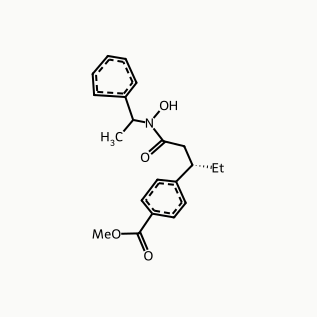 CC[C@@H](CC(=O)N(O)C(C)c1ccccc1)c1ccc(C(=O)OC)cc1